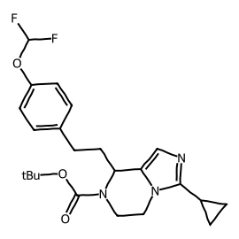 CC(C)(C)OC(=O)N1CCn2c(cnc2C2CC2)C1CCc1ccc(OC(F)F)cc1